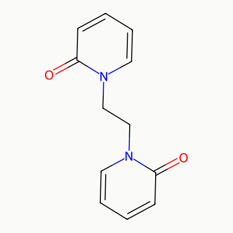 O=c1ccccn1CCn1ccccc1=O